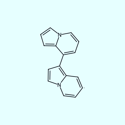 [c]1ccn2ccc(-c3cccn4cccc34)c2c1